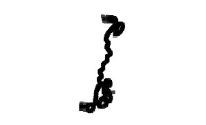 O=C(O)CCCCCCCCCCCC(CC(=O)O)[N+](=O)[O-]